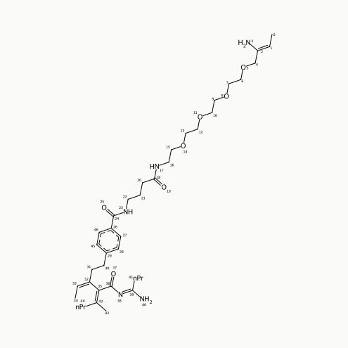 C/C=C(\N)COCCOCCOCCOCCNC(=O)CCCNC(=O)c1ccc(CCC(=C/C)/C(C(=O)/N=C(/N)CCC)=C(/C)CCC)cc1